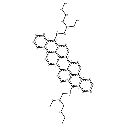 CCCCC(CC)COc1c2ccccc2c2ccc3c4ccc5c(OCC(CC)CCCC)c6ccccc6c6ccc(c7ccc1c2c73)c4c56